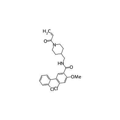 C=CC(=O)N1CCC(CNC(=O)c2cc(-c3ccccc3Cl)c(Cl)cc2OC)CC1